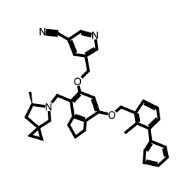 Cc1c(COc2cc(OCc3cncc(C#N)c3)c(CN3CC4(CC4)C[C@H]3C)c3c2CCC3)cccc1-c1ccccc1